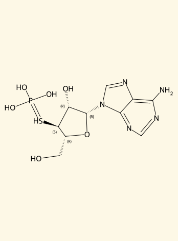 Nc1ncnc2c1ncn2[C@@H]1O[C@H](CO)[C@@H]([SH]=P(O)(O)O)[C@@H]1O